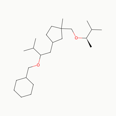 CC(C)C(CC1CCC(C)(CO[C@H](C)C(C)C)C1)OCC1CCCCC1